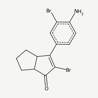 Nc1ccc(C2=C(Br)C(=O)C3CCCC23)cc1Br